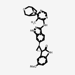 COc1ccc2c(c1)[C@]1(C[C@H]1c1ccc3c(Nc4ncnc(N5C6CCC5COC6)c4C)n[nH]c3c1)C(=O)N2